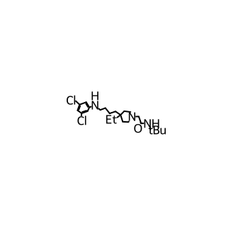 CCC1(CCCCNc2cc(Cl)cc(Cl)c2)CCN(CC(=O)NC(C)(C)C)CC1